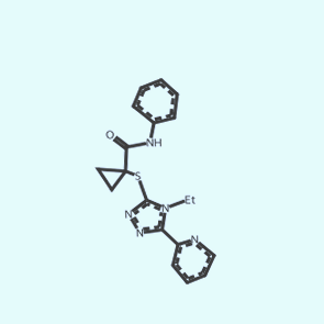 CCn1c(SC2(C(=O)Nc3ccccc3)CC2)nnc1-c1ccccn1